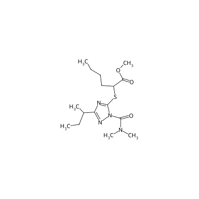 CCCCC(Sc1nc(C(C)CC)nn1C(=O)N(C)C)C(=O)OC